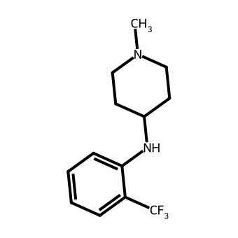 CN1CCC(Nc2ccccc2C(F)(F)F)CC1